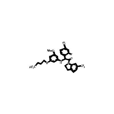 COc1cc(NC(C(=O)N2CCc3ccc(C(F)(F)F)cc32)c2ccc(Cl)cc2F)cc(OCCCC(=O)O)c1